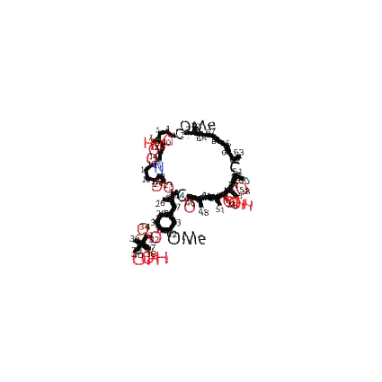 COC1CC2CCC(C)C(O)(O2)C(=O)C(=O)N2CCCCC2C(=O)OC(C(C)CC2CCC(OC(=O)C(C)(CO)CO)C(OC)C2)CC(=O)C(C)/C=C(\C)C(O)C(CO)C(=O)C(C)CC(C)/C=C/C=C/C=C/1C